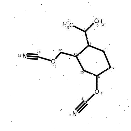 CC(C)C1CCC(OC#N)CC1COC#N